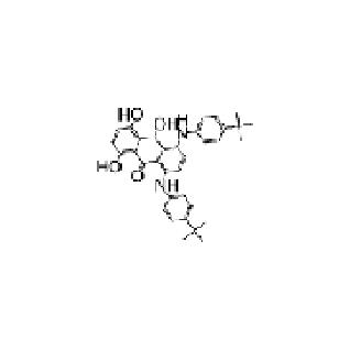 CC(C)(C)c1ccc(Nc2ccc(Nc3ccc(C(C)(C)C)cc3)c3c2C(=O)c2c(O)ccc(O)c2C3O)cc1